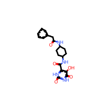 O=C(Cc1ccccc1)NC1CCC(NC(=O)c2[nH]c(=O)[nH]c(=O)c2O)CC1